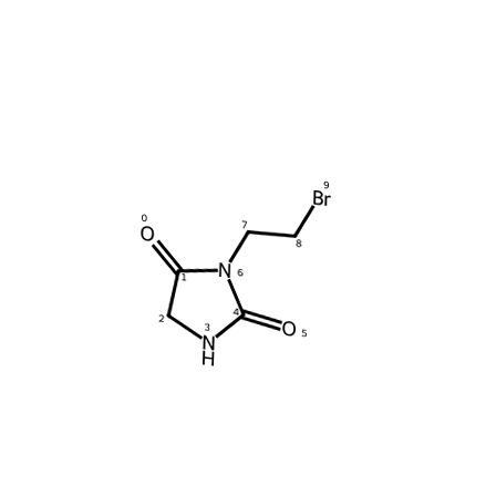 O=C1CNC(=O)N1CCBr